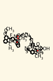 CCc1cccc2cc(OCOC)cc(-c3ncc4c(N5CC6CCC(C5)N6C(=O)OC(C)(C)C)nc(OCCN5CCN(CC6CN(c7cc([C@H](C(=O)N8C[C@H](O)C[C@H]8C(=O)N[C@@H](C)c8ccc(-c9scnc9C)cc8)C(C)C)on7)C6)CC5)nc4c3F)c12